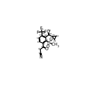 CS(=O)(=O)c1c(C(=O)CC#N)ccc(C(F)(F)F)c1C(=O)C1CC1